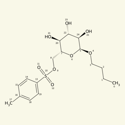 CCCCO[C@H]1O[C@H](COS(=O)(=O)c2ccc(C)cc2)[C@@H](O)[C@H](O)[C@H]1O